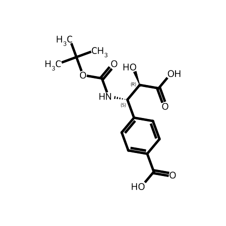 CC(C)(C)OC(=O)N[C@@H](c1ccc(C(=O)O)cc1)[C@@H](O)C(=O)O